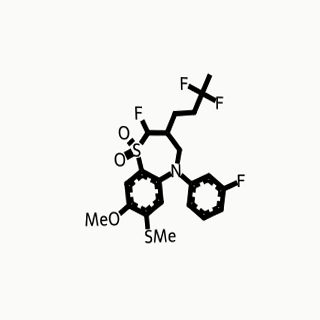 COc1cc2c(cc1SC)N(c1cccc(F)c1)CC(CCC(C)(F)F)C(F)S2(=O)=O